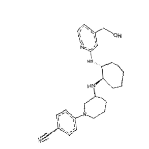 N#Cc1ccc(N2CCCC(N[C@@H]3CCCC[C@H]3Nc3cc(CO)ccn3)C2)cc1